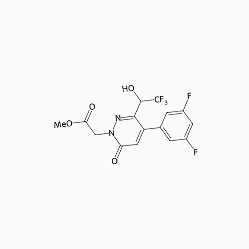 COC(=O)Cn1nc(C(O)C(F)(F)F)c(-c2cc(F)cc(F)c2)cc1=O